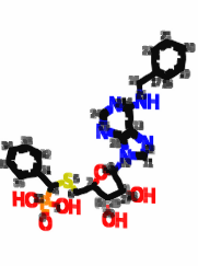 O=P(O)(O)C(SCC1O[C@@H](n2cnc3c(NCc4ccccc4)ncnc32)[C@H](O)[C@@H]1O)c1ccccc1